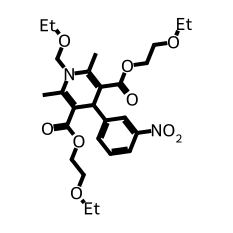 CCOCCOC(=O)C1=C(C)N(COCC)C(C)=C(C(=O)OCCOCC)C1c1cccc([N+](=O)[O-])c1